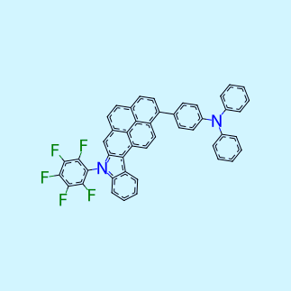 Fc1c(F)c(F)c(-n2c3ccccc3c3c4ccc5c(-c6ccc(N(c7ccccc7)c7ccccc7)cc6)ccc6ccc(cc32)c4c65)c(F)c1F